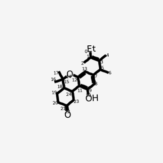 CCC(C)=C(C)C(C)c1cc(O)c2c(c1)OC(C)(C)C1CCC(=O)CC21